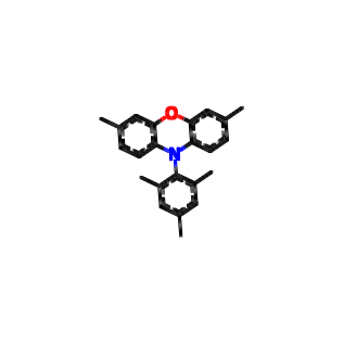 Cc1cc(C)c(N2c3ccc(C)cc3Oc3cc(C)ccc32)c(C)c1